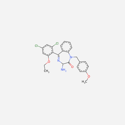 CCOc1cc(Cl)cc(Cl)c1C1=NC(N)C(=O)N(Cc2ccc(OC)cc2)c2ccccc21